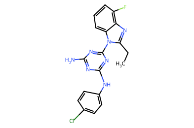 CCc1nc2c(F)cccc2n1-c1nc(N)nc(Nc2ccc(Cl)cc2)n1